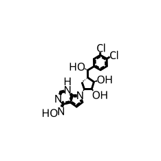 O/N=c1\nc[nH]c2c1ccn2[C@@H]1C[C@H]([C@H](O)c2ccc(Cl)c(Cl)c2)[C@@H](O)[C@H]1O